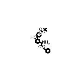 CC(C)(C)OC(=O)N1CCC(O)(c2cccc(C(N)C(=O)OCc3ccccc3)c2)CC1